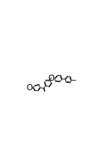 C=C(c1ccc(OC)cc1)c1ccc(Oc2ccc(-c3ccc(C)cc3)cc2)cc1